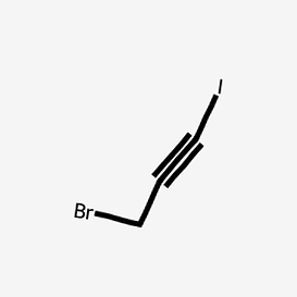 BrCC#CI